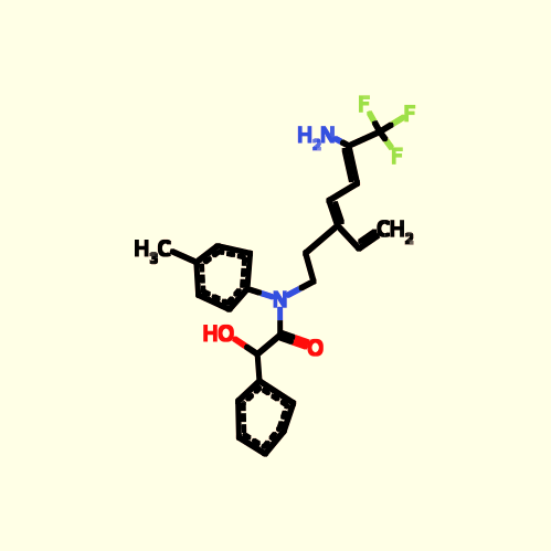 C=C/C(=C\C=C(/N)C(F)(F)F)CCN(C(=O)C(O)c1ccccc1)c1ccc(C)cc1